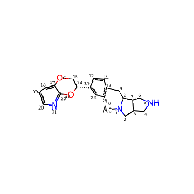 CC(=O)N1CC2CNCC2C1Cc1ccc([C@H]2COc3cccnc3O2)cc1